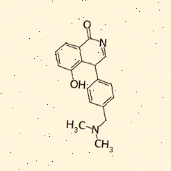 CN(C)Cc1ccc(C2C=NC(=O)c3cccc(O)c32)cc1